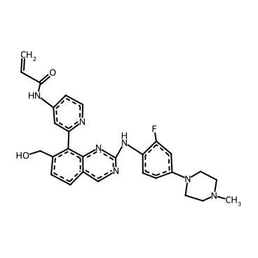 C=CC(=O)Nc1ccnc(-c2c(CO)ccc3cnc(Nc4ccc(N5CCN(C)CC5)cc4F)nc23)c1